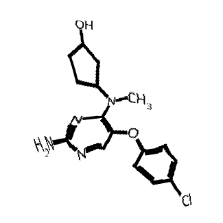 CN(c1nc(N)ncc1Oc1ccc(Cl)cc1)C1CCC(O)C1